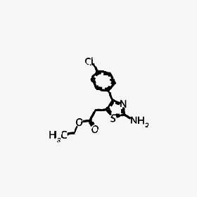 CCOC(=O)Cc1sc(N)nc1-c1ccc(Cl)cc1